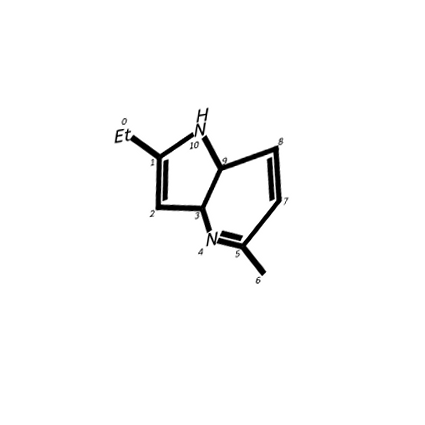 CCC1=CC2N=C(C)C=CC2N1